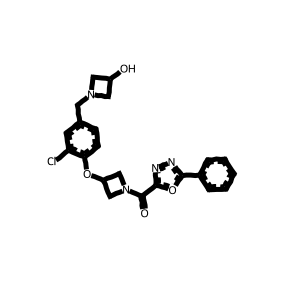 O=C(c1nnc(-c2ccccc2)o1)N1CC(Oc2ccc(CN3CC(O)C3)cc2Cl)C1